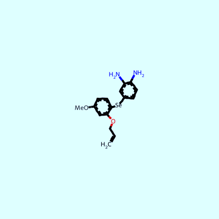 C=CCOc1cc(OC)ccc1[Se]c1ccc(N)c(N)c1